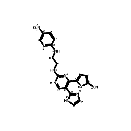 N#Cc1ccc(-c2nc(NCCNc3ccc([N+](=O)[O-])cn3)ncc2-c2ncc[nH]2)s1